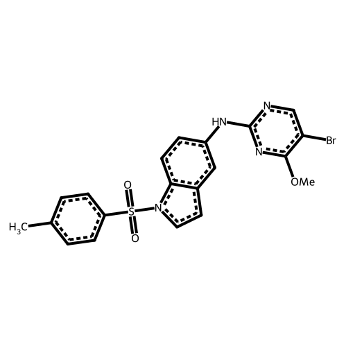 COc1nc(Nc2ccc3c(ccn3S(=O)(=O)c3ccc(C)cc3)c2)ncc1Br